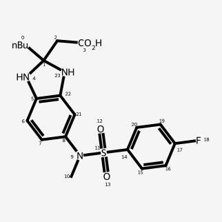 CCCCC1(CC(=O)O)Nc2ccc(N(C)S(=O)(=O)c3ccc(F)cc3)cc2N1